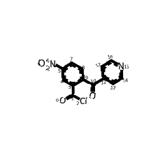 O=C(Cl)c1cc([N+](=O)[O-])ccc1C(=O)c1ccncc1